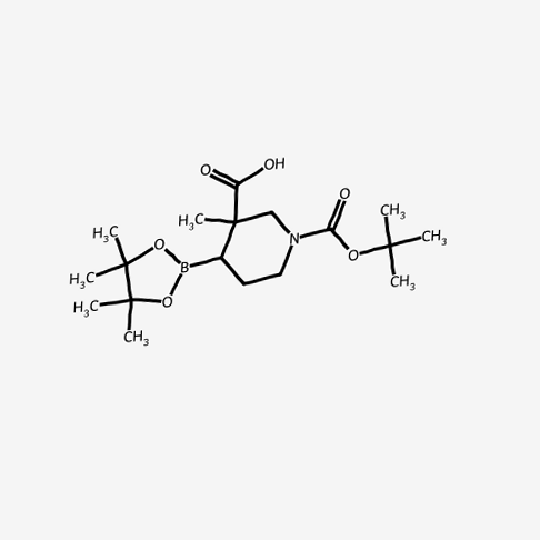 CC(C)(C)OC(=O)N1CCC(B2OC(C)(C)C(C)(C)O2)C(C)(C(=O)O)C1